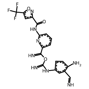 N=Cc1cc(NC(=N)OC(=N)c2cccc(NC(=O)c3cc(C(F)(F)F)on3)n2)ccc1N